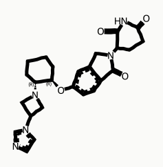 O=C1CCC(N2Cc3cc(O[C@@H]4CCCC[C@H]4N4CC(n5ccnc5)C4)ccc3C2=O)C(=O)N1